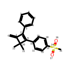 C=C1C(c2ccccc2)=C(c2ccc(S(C)(=O)=O)cc2)C1(C)C